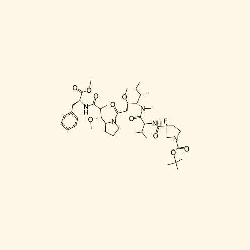 CC[C@H](C)[C@@H]([C@@H](CC(=O)N1CCC[C@H]1[C@H](OC)C(C)C(=O)N[C@@H](Cc1ccccc1)C(=O)OC)OC)N(C)C(=O)[C@@H](NC(=O)[C@]1(F)CCN(C(=O)OC(C)(C)C)C1)C(C)C